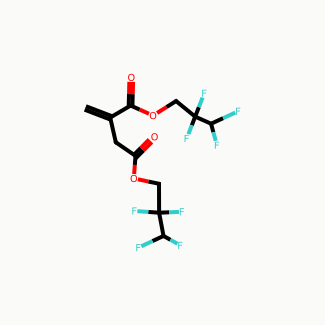 C=C(CC(=O)OCC(F)(F)C(F)F)C(=O)OCC(F)(F)C(F)F